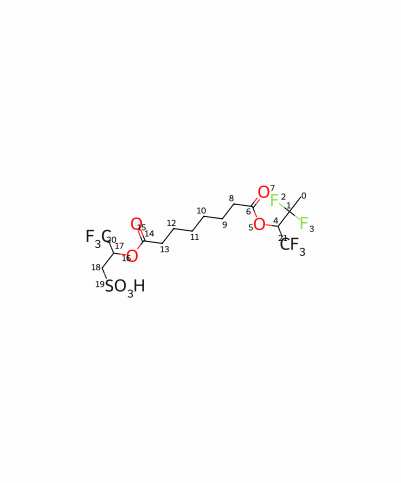 CC(F)(F)C(OC(=O)CCCCCCC(=O)OC(CS(=O)(=O)O)C(F)(F)F)C(F)(F)F